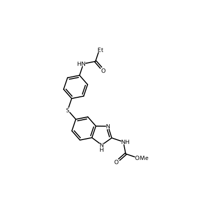 CCC(=O)Nc1ccc(Sc2ccc3[nH]c(NC(=O)OC)nc3c2)cc1